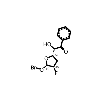 O=C(c1ccccc1)C(O)[C@@H]1C[C@@H](F)[C@@H](OBr)O1